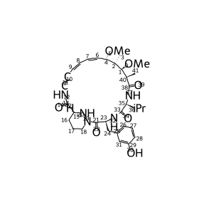 CO[C@@H]1[C@@H](C)[C@@H](OC)C=CC=CCCNC(=O)[C@@H]2CCCN(N2)C(=O)[C@H](Cc2cccc(O)c2)NC(=O)[C@H](C(C)C)NC(=O)[C@@H]1C